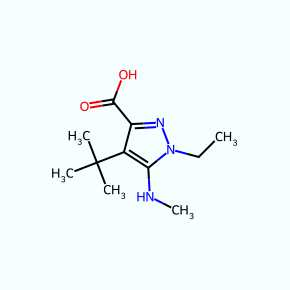 CCn1nc(C(=O)O)c(C(C)(C)C)c1NC